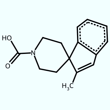 CC1=Cc2ccccc2C12CCN(C(=O)O)CC2